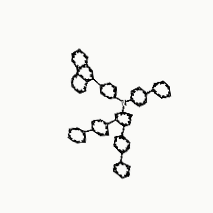 c1ccc(-c2ccc(-c3ccc(N(c4ccc(-c5ccccc5)cc4)c4ccc(-c5cc6ccccc6c6ccccc56)cc4)cc3-c3ccc(-c4ccccc4)cc3)cc2)cc1